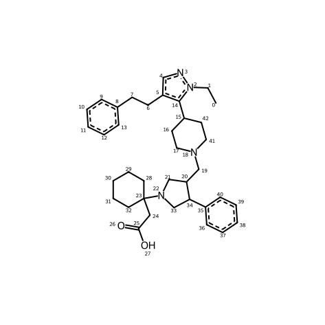 CCn1ncc(CCc2ccccc2)c1C1CCN(CC2CN(C3(CC(=O)O)CCCCC3)CC2c2ccccc2)CC1